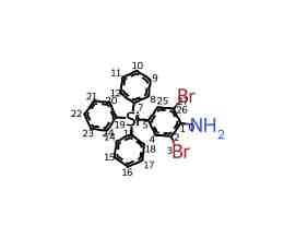 Nc1c(Br)cc([Si](c2ccccc2)(c2ccccc2)c2ccccc2)cc1Br